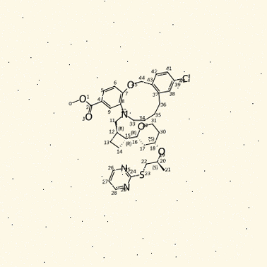 COC(=O)c1ccc2c(c1)N(C[C@@H]1CC[C@H]1[C@H]1C[C@@H](O[C@@H](C)CSc3ncccn3)CCO1)CCCCc1cc(Cl)ccc1CO2